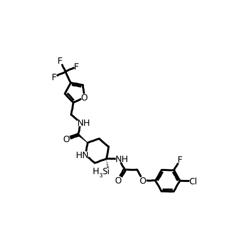 O=C(COc1ccc(Cl)c(F)c1)N[C@]1([SiH3])CC[C@H](C(=O)NCc2cc(C(F)(F)F)co2)NC1